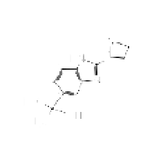 CC(C)(C)c1ccc2[nH]c([C@@H]3CCN3)nc2c1